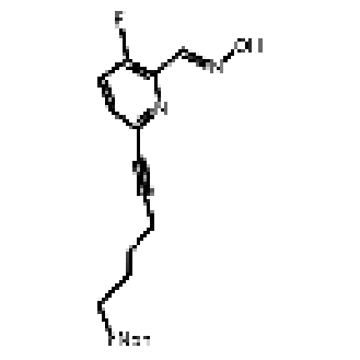 CCCCCCCCCCCCCC#Cc1ccc(F)c(C=NO)n1